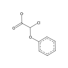 [O]C(=O)C(Cl)Oc1ccccc1